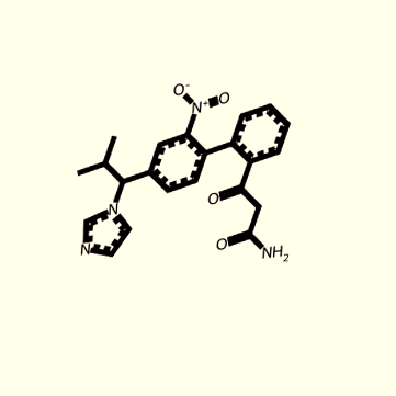 CC(C)C(c1ccc(-c2ccccc2C(=O)CC(N)=O)c([N+](=O)[O-])c1)n1ccnc1